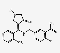 Cc1ccccc1/C(NCc1ccc(F)c(C(N)=O)c1)=C1\CN(C)CC1=N